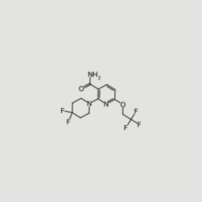 NC(=O)c1ccc(OCC(F)(F)F)nc1N1CCC(F)(F)CC1